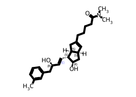 Cc1cccc(C[C@@H](O)/C=C/[C@@H]2[C@H]3CC(CCCCC(=O)N(C)C)=C[C@H]3C[C@H]2O)c1